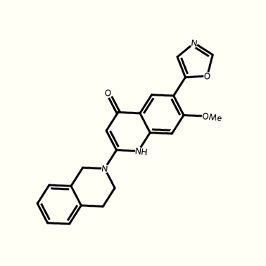 COc1cc2[nH]c(N3CCc4ccccc4C3)cc(=O)c2cc1-c1cnco1